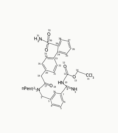 CCCCCN(Cc1cccc(C(=N)NC(=O)OCC(Cl)(Cl)Cl)c1)C(=O)Cc1ccc(-c2ccccc2S(N)(=O)=O)cc1